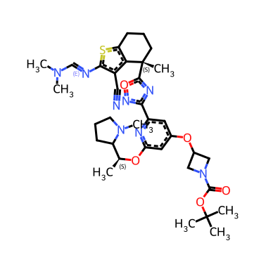 C[C@H](Oc1cc(OC2CN(C(=O)OC(C)(C)C)C2)cc(-c2noc([C@@]3(C)CCCc4sc(/N=C/N(C)C)c(C#N)c43)n2)n1)C1CCCN1C